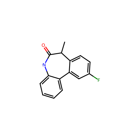 CC1C(=O)[N]c2ccccc2-c2cc(F)ccc21